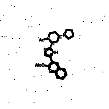 COc1nc2ccccc2cc1-c1cnc([C@@H]2C[C@@H](N3CCCC3)CCN2C(C)=O)[nH]1